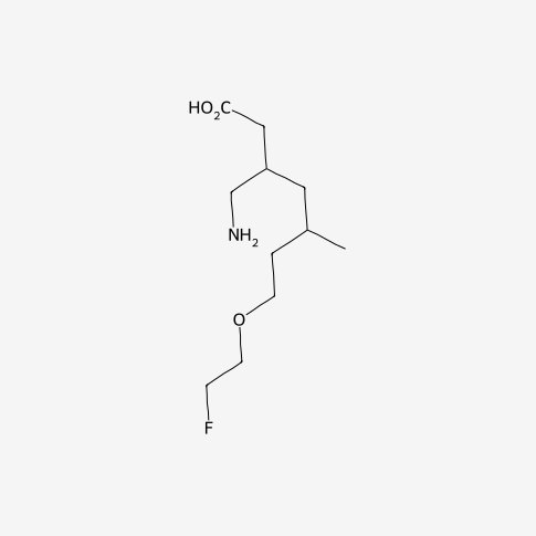 CC(CCOCCF)CC(CN)CC(=O)O